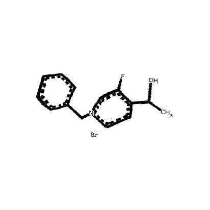 CC(O)c1cc[n+](Cc2ccccc2)cc1F.[Br-]